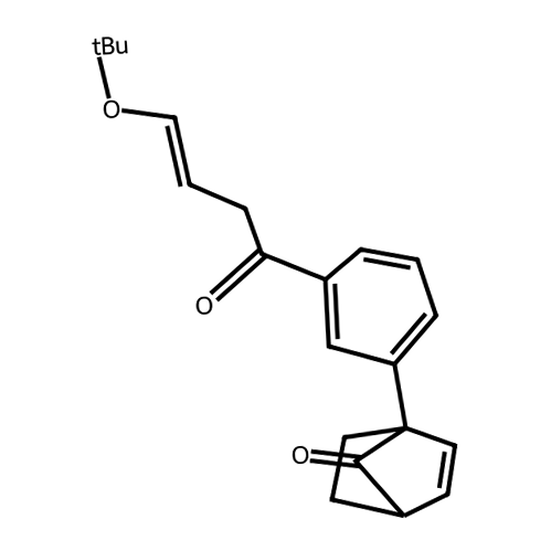 CC(C)(C)OC=CCC(=O)c1cccc(C23C=CC(CC2)C3=O)c1